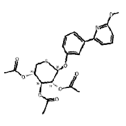 COc1cccc(-c2cccc(O[C@@H]3SC[C@@H](OC(C)=O)[C@H](OC(C)=O)[C@H]3OC(C)=O)c2)n1